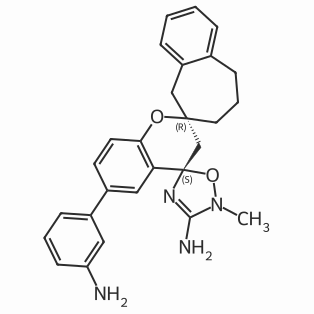 CN1O[C@]2(C[C@]3(CCCc4ccccc4C3)Oc3ccc(-c4cccc(N)c4)cc32)N=C1N